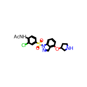 CC(=O)Nc1ccc(S(=O)(=O)n2ncc3c(OC4CCNC4)cccc32)cc1Cl